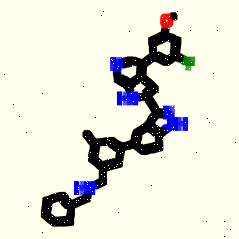 COc1cc(F)cc(-c2cncc3[nH]c(-c4n[nH]c5ccc(-c6cc(C)cc(CNCc7ccccc7)c6)cc45)cc23)c1